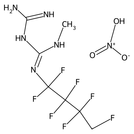 CN/C(=N\C(F)(F)C(F)(F)C(F)(F)CF)NC(=N)N.O=[N+]([O-])O